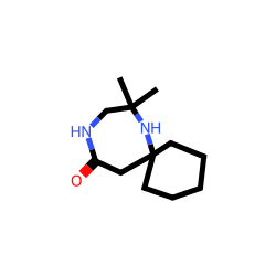 CC1(C)CNC(=O)CC2(CCCCC2)N1